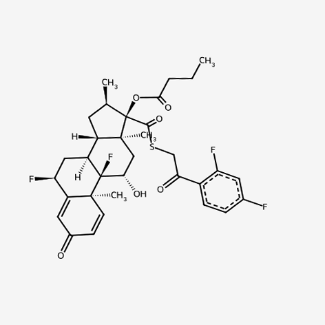 CCCC(=O)O[C@]1(C(=O)SCC(=O)c2ccc(F)cc2F)[C@H](C)C[C@H]2[C@@H]3C[C@H](F)C4=CC(=O)C=C[C@]4(C)[C@@]3(F)[C@@H](O)C[C@@]21C